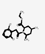 CCOC(=O)C1CC(C)CC(C)N1C(=O)Cc1c(Cl)cccc1Cl